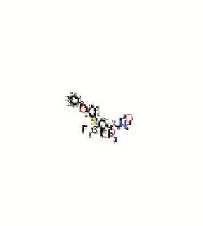 O=C(C=CN1CCOCC1)c1ccc(Sc2cccc(OCc3ccccc3)c2)c(C(F)(F)F)c1C(F)(F)F